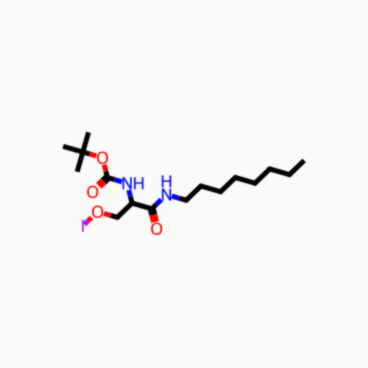 CCCCCCCCNC(=O)C(COI)NC(=O)OC(C)(C)C